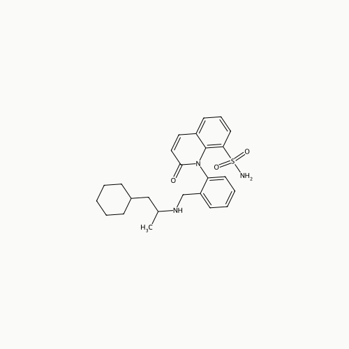 CC(CC1CCCCC1)NCc1ccccc1-n1c(=O)ccc2cccc(S(N)(=O)=O)c21